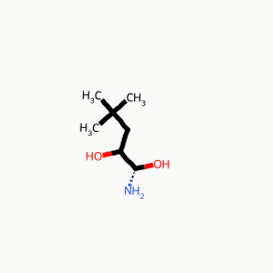 CC(C)(C)CC(O)[C@@H](N)O